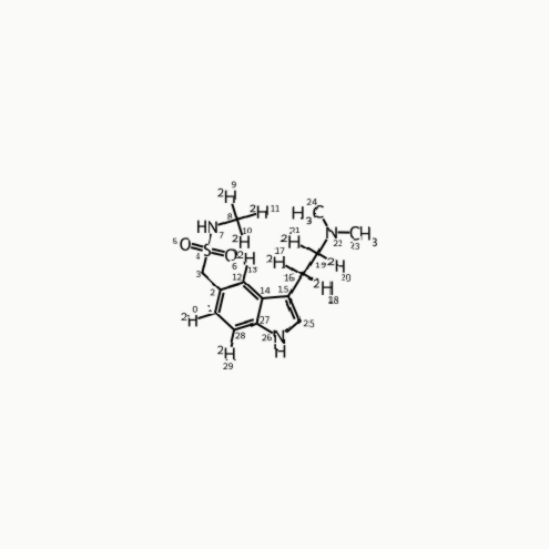 [2H]c1c(CS(=O)(=O)NC([2H])([2H])[2H])c([2H])c2c(C([2H])([2H])C([2H])([2H])N(C)C)c[nH]c2c1[2H]